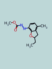 CCC1Cc2c(C)ccc(N=NC(=O)OC)c2O1